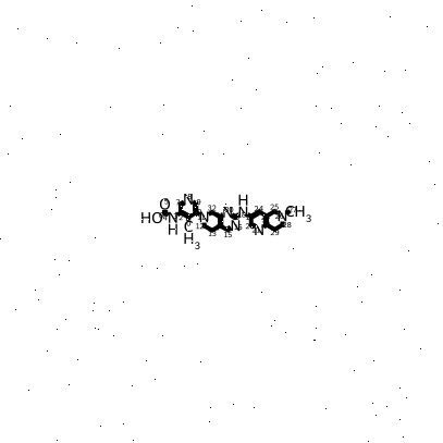 Cc1c(NC(=O)O)cncc1N1CCc2cnc(Nc3cnc4c(c3)CN(C)CC4)nc2C1